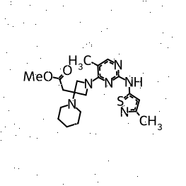 COC(=O)CC1(N2CCCCC2)CN(c2nc(Nc3cc(C)ns3)ncc2C)C1